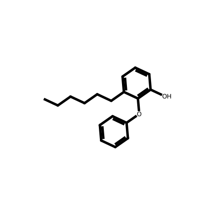 CCCCCCc1cccc(O)c1Oc1ccccc1